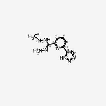 C=NN/C(=N\N)c1cccc(-c2nnn[nH]2)n1